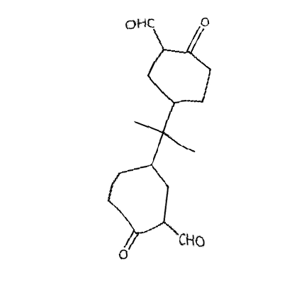 CC(C)(C1CCC(=O)C(C=O)C1)C1CCC(=O)C(C=O)C1